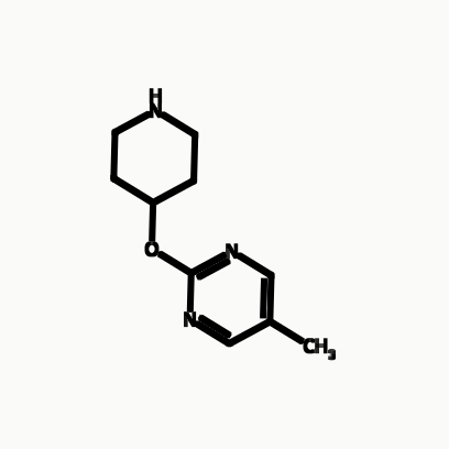 Cc1cnc(OC2CCNCC2)nc1